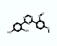 COc1ccc(-c2ncnc(-c3ccc(O)cc3O)n2)c(N=O)c1